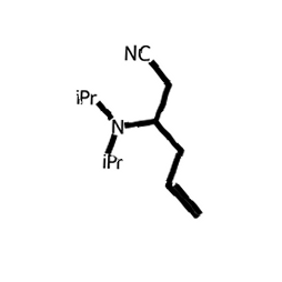 C=CCC(CC#N)N(C(C)C)C(C)C